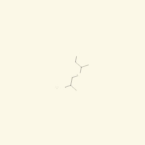 COC(C)COC(C)C[O]